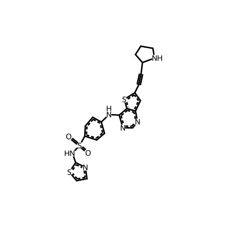 O=S(=O)(Nc1nccs1)c1ccc(Nc2ncnc3cc(C#CC4CCCN4)sc23)cc1